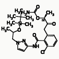 CC(Cn1ccc(NC(=O)c2c(Cl)cccc2CC(=O)[C@H](C)OC(N)=O)n1)O[Si](C)(C)C(C)(C)C